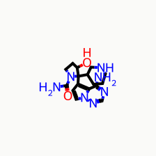 NC(=O)N1CCC(O)C1(c1ccn2ncnc(N)c12)C1CCCNC1